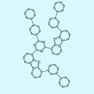 c1ccc(-c2ccc(-c3nc(-c4cccc5c4oc4c(-c6cccc(-c7ccccc7)c6)cccc45)nc(-c4cccc5c4sc4c(-c6cccc(-c7ccccc7)c6)cccc45)n3)cc2)cc1